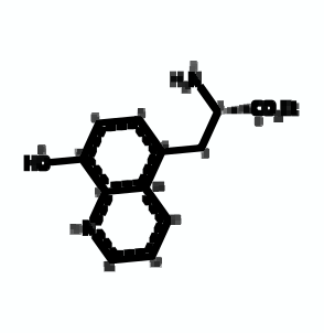 CCOC(=O)[C@@H](N)Cc1ccc(O)c2ncccc12